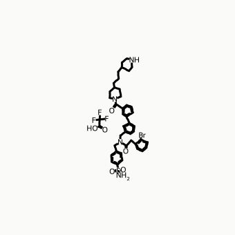 NS(=O)(=O)c1ccc(CN(Cc2cccc(-c3cccc(C(=O)N4CCC(CCCC5CCNCC5)CC4)c3)c2)C(=O)Cc2ccccc2Br)cc1.O=C(O)C(F)(F)F